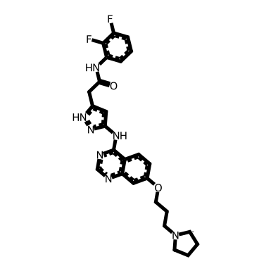 O=C(Cc1cc(Nc2ncnc3cc(OCCCN4[CH]CCC4)ccc23)n[nH]1)Nc1cccc(F)c1F